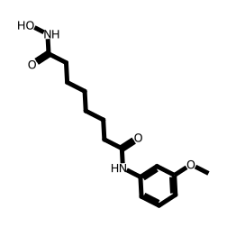 COc1cccc(NC(=O)CCCCCCC(=O)NO)c1